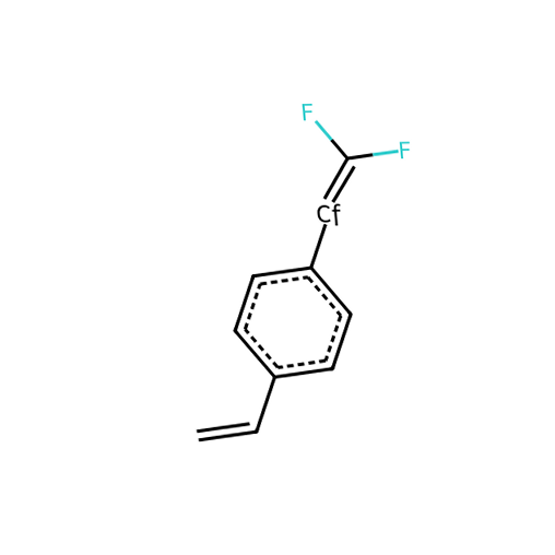 C=Cc1cc[c]([Cf]=[C](F)F)cc1